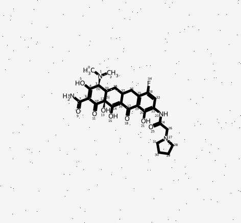 CN(C)[C@@H]1C(O)=C(C(N)=O)C(=O)[C@@]2(O)C(O)=C3C(=O)c4c(O)c(NC(=O)CN5CCCC5)cc(F)c4CC3CC12